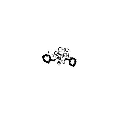 C[C@@H]([C]=O)N(C)P(=O)(OCc1ccccc1)OCc1ccccc1